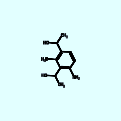 Cc1c(C(C)O)ccc(N)c1C(C)O